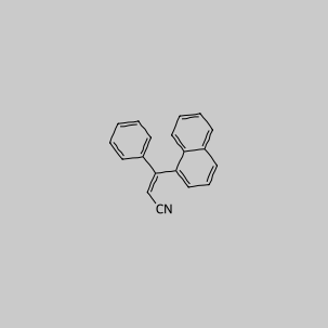 N#C/C=C(/c1ccccc1)c1cccc2ccccc12